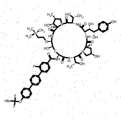 CCCCC(F)(F)Oc1ccc(-c2ccc(-c3ccc(C(=O)N[C@H]4C[C@@H](O)[C@@H](OCC[N+](C)(C)C)NC(=O)[C@@H]5[C@@H](O)[C@@H](C)CN5C(=O)[C@H]([C@@H](C)O)NC(=O)[C@H]([C@H](O)[C@@H](O)c5ccc(O)cc5)NC(=O)[C@@H]5C[C@@H](O)CN5C(=O)[C@H]([C@@H](C)O)NC4=O)cc3F)cc2)cc1